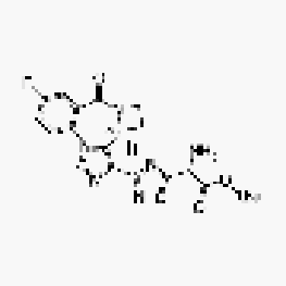 CC(C)(C)OC(=O)C(N)c1nc(-c2ncn3c2[C@@H]2CCN2C(=O)c2cc(F)ccc2-3)no1